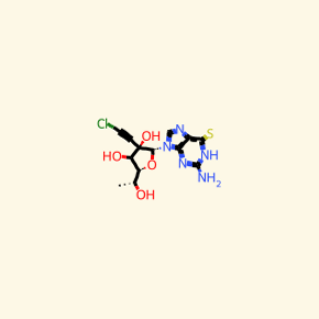 C[C@@H](O)[C@H]1O[C@@H](n2cnc3c(=S)[nH]c(N)nc32)[C@@](O)(C#CCl)C1O